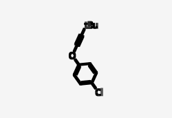 CC(C)(C)C#COc1ccc(Cl)cc1